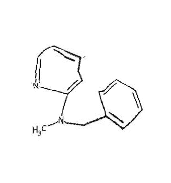 CN(Cc1ccccc1)c1c[c]ccn1